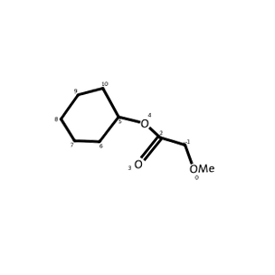 CO[C]C(=O)OC1CCCCC1